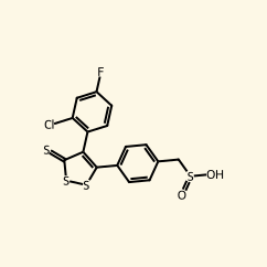 O=S(O)Cc1ccc(-c2ssc(=S)c2-c2ccc(F)cc2Cl)cc1